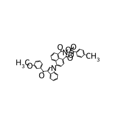 COc1cccc(C(=O)c2cn(-c3ccc4c5c(cccc35)C(=O)N(OS(=O)(=O)c3ccc(C)cc3)C4=O)c3ccccc23)c1